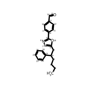 CCCCC(Cc1nnc(-c2ccc(C=O)cc2)o1)c1ccccc1